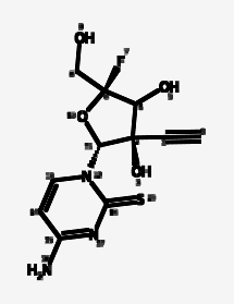 C#C[C@@]1(O)C(O)[C@@](F)(CO)O[C@H]1n1ccc(N)nc1=S